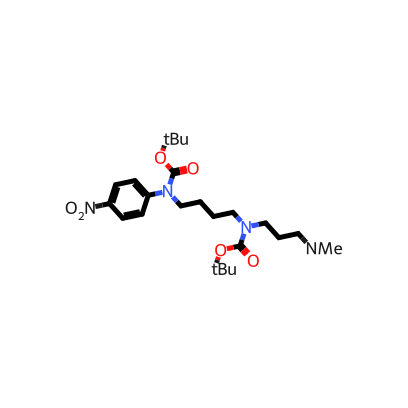 CNCCCN(CCCCN(C(=O)OC(C)(C)C)c1ccc([N+](=O)[O-])cc1)C(=O)OC(C)(C)C